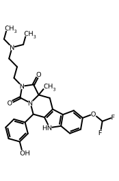 CCN(CC)CCCN1C(=O)N2C(c3cccc(O)c3)c3[nH]c4ccc(OC(F)F)cc4c3CC2(C)C1=O